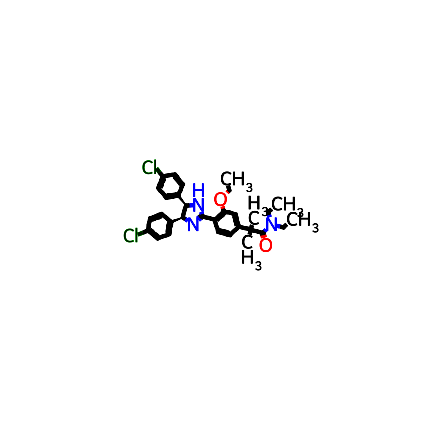 CCOc1cc(C(C)(C)C(=O)N(CC)CC)ccc1C1=N[C@@H](c2ccc(Cl)cc2)[C@@H](c2ccc(Cl)cc2)N1